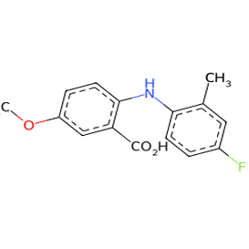 Cc1cc(F)ccc1Nc1ccc(OC(F)(F)F)cc1C(=O)O